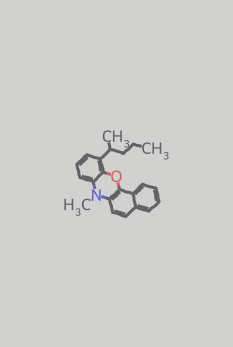 CCCC(C)c1cccc2c1Oc1c(ccc3ccccc13)N2C